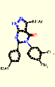 CSc1ccc(-c2nc3[nH]nc(NC(C)=O)c3c(=O)n2-c2ccc(C)c(C)c2)cc1